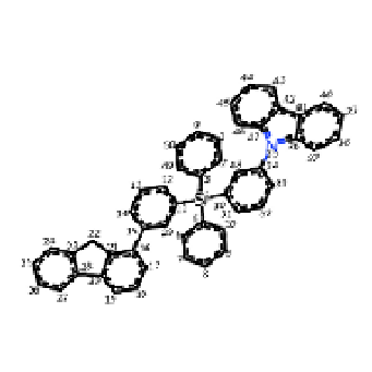 c1ccc([Si](c2ccccc2)(c2cccc(-c3cccc4c3Cc3ccccc3-4)c2)c2cccc(-n3c4ccccc4c4ccccc43)c2)cc1